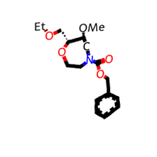 CCOC[C@H]1OCCN(C(=O)OCc2ccccc2)C[C@@H]1OC